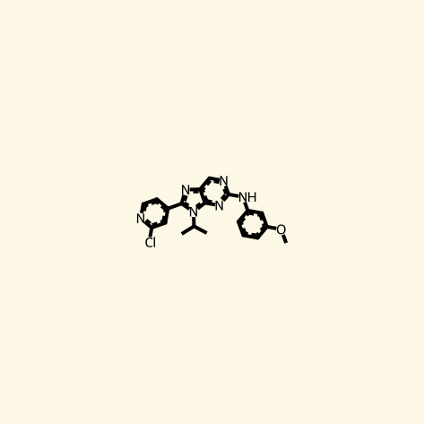 COc1cccc(Nc2ncc3nc(-c4ccnc(Cl)c4)n(C(C)C)c3n2)c1